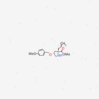 C=CC[C@]1(C(=O)OC)C[C@@H](OCc2ccc(OC)cc2)CN1